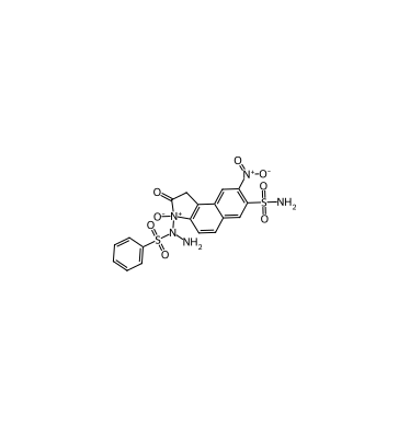 NN([N+]1([O-])C(=O)Cc2c1ccc1cc(S(N)(=O)=O)c([N+](=O)[O-])cc21)S(=O)(=O)c1ccccc1